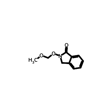 COCON1Cc2ccccc2C1=O